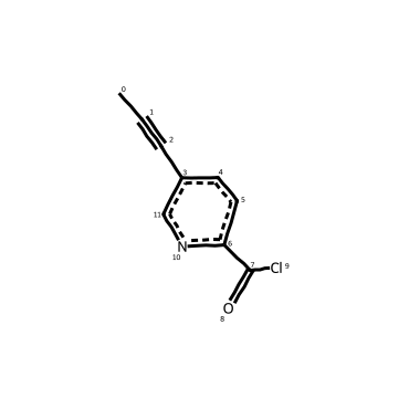 CC#Cc1ccc(C(=O)Cl)nc1